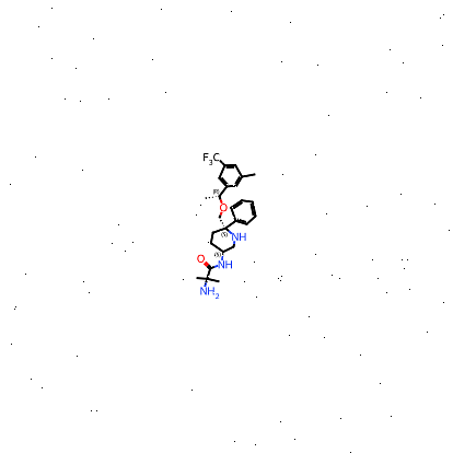 Cc1cc([C@@H](C)OC[C@@]2(c3ccccc3)CC[C@H](NC(=O)C(C)(C)N)CN2)cc(C(F)(F)F)c1